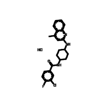 Cc1cc(NC2CCC(NC(=O)c3ccc(F)c(Cl)c3)CC2)nc2ccccc12.Cl